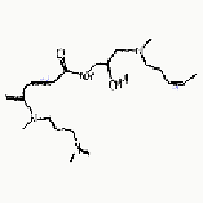 C=C(/C=C/C(=O)NCC(O)CN(C)CC/C=C\C)N(C)CCCN(C)C